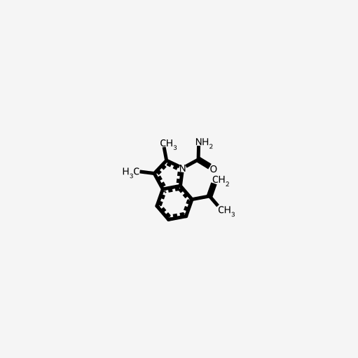 C=C(C)c1cccc2c(C)c(C)n(C(N)=O)c12